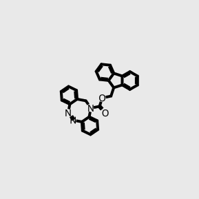 O=C(OCC1c2ccccc2-c2ccccc21)N1Cc2ccccc2/N=N\c2ccccc21